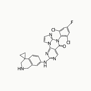 O=c1c2cnc(Nc3ccc4c(c3)CNCC43CC3)nc2n2ccnc2n1-c1c(Cl)cc(F)cc1Cl